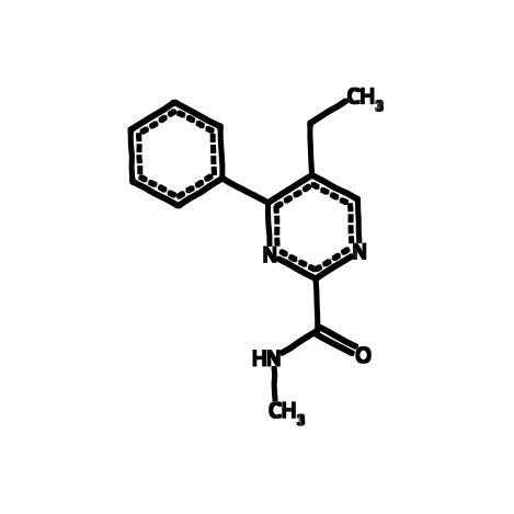 CCc1cnc(C(=O)NC)nc1-c1ccccc1